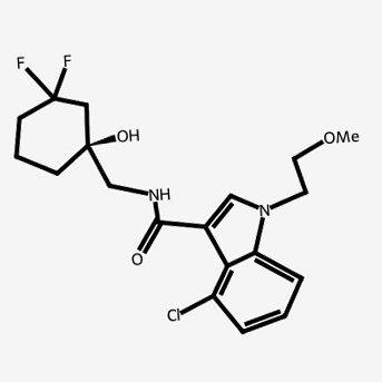 COCCn1cc(C(=O)NC[C@]2(O)CCCC(F)(F)C2)c2c(Cl)cccc21